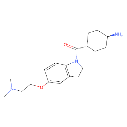 CN(C)CCOc1ccc2c(c1)CCN2C(=O)[C@H]1CC[C@H](N)CC1